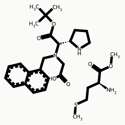 CC(C)(C)OC(=O)C([C@@H]1CCCN1)N(CC(=O)O)Cc1cccc2ccccc12.COC(=O)[C@@H](N)CCSC